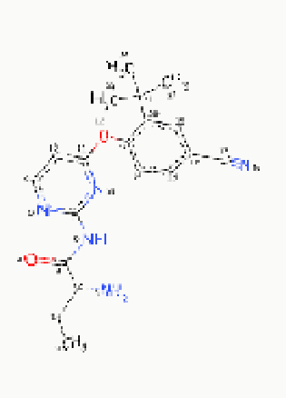 CCC(N)C(=O)Nc1nccc(Oc2ccc(C#N)cc2C(C)(C)C)n1